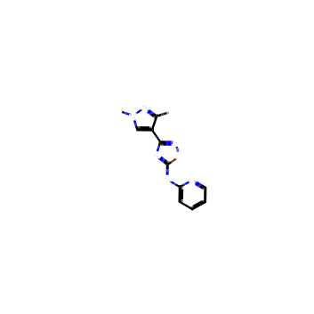 CCCn1cc(-c2nsc(Nc3ccccn3)n2)c(C(F)(F)F)n1